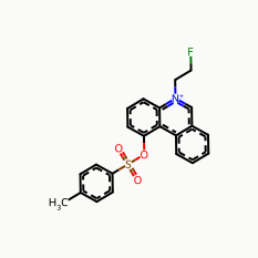 Cc1ccc(S(=O)(=O)Oc2cccc3c2c2ccccc2c[n+]3CCF)cc1